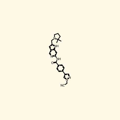 CC1(C)CCCN1Cc1cc2cnc(NC(=O)c3ccc(-c4cnn(CC#N)c4)cc3)cc2[nH]1